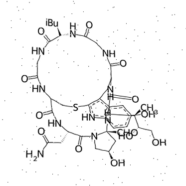 CC[C@H](C)[C@@H]1NC(=O)CNC(=O)C2Cc3c([nH]c4ccc(O)cc34)SCC(NC(=O)CNC1=O)C(=O)N[C@@H](CC(N)=O)C(=O)N1C[C@H](O)C[C@@]1(C=O)N[C@@H]([C@@H](C)[C@@H](O)CO)C(=O)N2